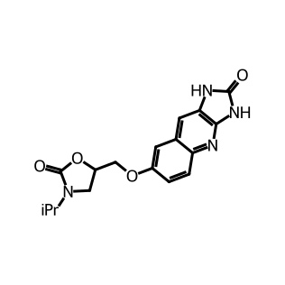 CC(C)N1CC(COc2ccc3nc4[nH]c(=O)[nH]c4cc3c2)OC1=O